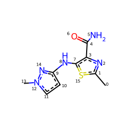 Cc1nc(C(N)=O)c(Nc2ccn(C)n2)s1